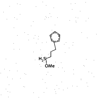 CO[SiH2]CCCc1ccccc1